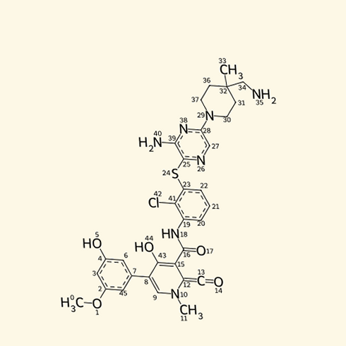 COc1cc(O)cc(C2=CN(C)C(=C=O)C(C(=O)Nc3cccc(Sc4ncc(N5CCC(C)(CN)CC5)nc4N)c3Cl)=C2O)c1